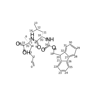 C=CCCC[C@](C)(NC(=O)[C@H](CC(C)C)NC(=O)OCC1c2ccccc2-c2ccccc21)C(=O)O